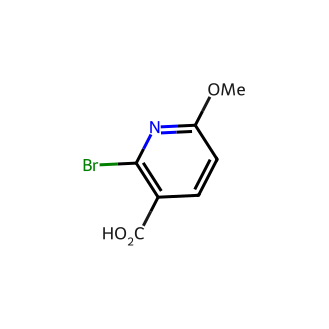 COc1ccc(C(=O)O)c(Br)n1